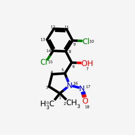 CC1(C)CCC(C(O)c2c(Cl)cccc2Cl)N1N=O